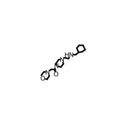 O=C(CN1CCOCC1)N1CCN(CCNCC2CCCCC2)CC1